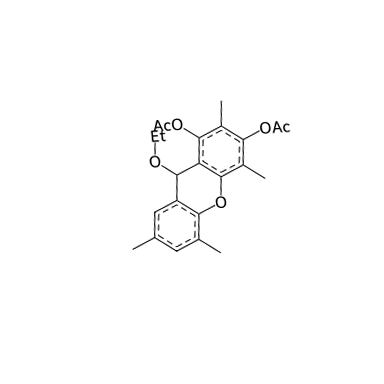 CCOC1c2cc(C)cc(C)c2Oc2c(C)c(OC(C)=O)c(C)c(OC(C)=O)c21